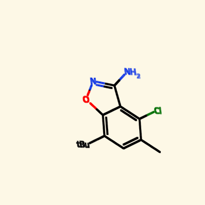 Cc1cc(C(C)(C)C)c2onc(N)c2c1Cl